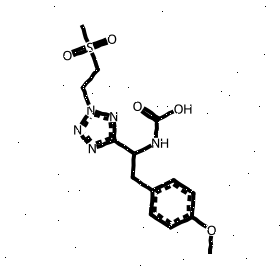 COc1ccc(CC(NC(=O)O)c2nnn(CCS(C)(=O)=O)n2)cc1